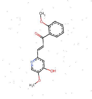 COc1cnc(C=CC(=O)c2ccccc2OC)cc1O